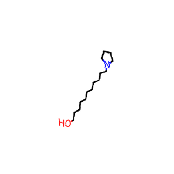 OCCCCCCCCCCCN1CCCC1